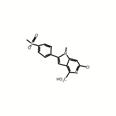 Cn1c(-c2ccc(S(C)(=O)=O)cc2)cc2c(C(=O)O)nc(Cl)cc21